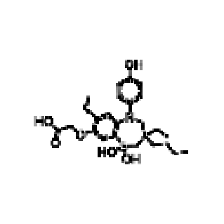 CCCC[C@]1(CC)CN(c2ccc(O)cc2)c2cc(SC)c(OCC(=O)O)cc2S(O)(O)C1